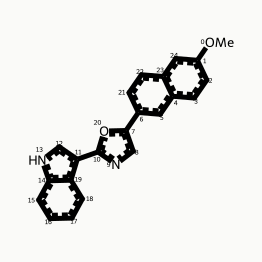 COc1ccc2cc(-c3cnc(-c4c[nH]c5ccccc45)o3)ccc2c1